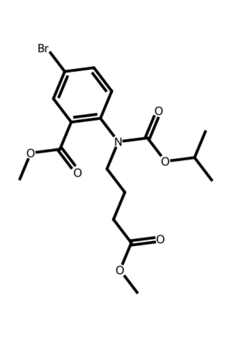 COC(=O)CCCN(C(=O)OC(C)C)c1ccc(Br)cc1C(=O)OC